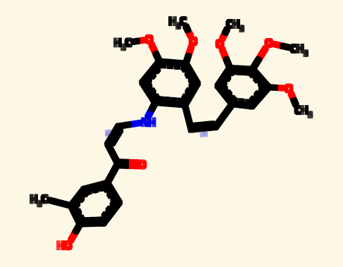 COc1cc(/C=C\c2cc(OC)c(OC)c(OC)c2)c(N/C=C\C(=O)c2ccc(O)c(C)c2)cc1OC